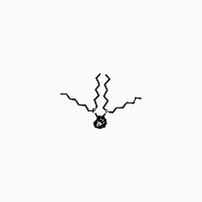 CCCCCCCP(CCCCCCC)[C]12[CH]3[CH]4[CH]5[C]1(P(CCCCCCC)CCCCCCC)[Ru]43521678[CH]2[CH]1[CH]6[CH]7[CH]28